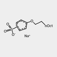 CCCCCCCCCCOc1ccc(S(=O)(=O)[O-])cc1.[Na+]